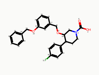 O=C(O)N1CCC(c2ccc(F)cc2)C(OCc2cccc(OCc3ccccc3)c2)C1